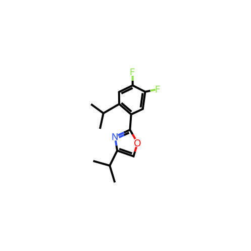 CC(C)c1coc(-c2cc(F)c(F)cc2C(C)C)n1